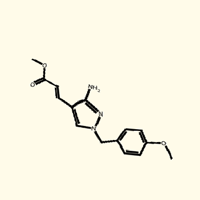 COC(=O)/C=C/c1cn(Cc2ccc(OC)cc2)nc1N